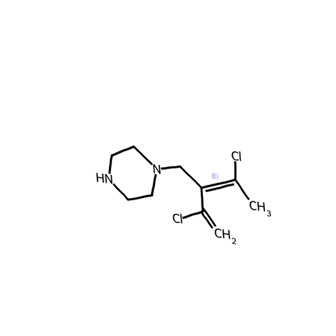 C=C(Cl)/C(CN1CCNCC1)=C(\C)Cl